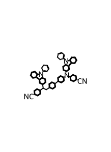 N#Cc1ccc(C(Cc2ccc(-c3ccc(N(c4ccc(C#N)cc4)c4ccc5c(c4)c4ccccc4n5C4=CC=CCC4)cc3)cc2)c2ccc3c(c2)c2ccccc2n3C2=CC=CCC2)cc1